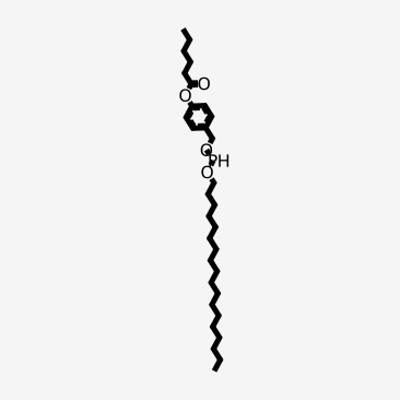 CCCCCCCCCCCCCCCCCCOPOCc1ccc(OC(=O)CCCCC)cc1